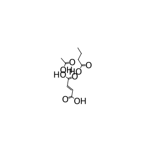 CC(=O)O.CCCC(=O)O.O=C(O)C=CC(=O)O